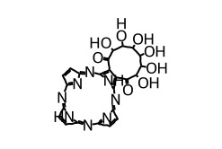 O=C1c2c(c3nc4nc(nc5ccc(nc6nc(nc2[nH]3)C=C6)[nH]5)C=C4)C(=O)C(O)C(O)C(O)C(O)C(O)C1O